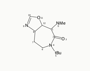 CNC1C(=O)N(C(C)(C)C)CCC2N=COC21